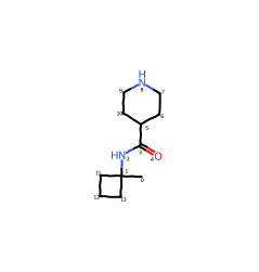 CC1(NC(=O)C2CCNCC2)CCC1